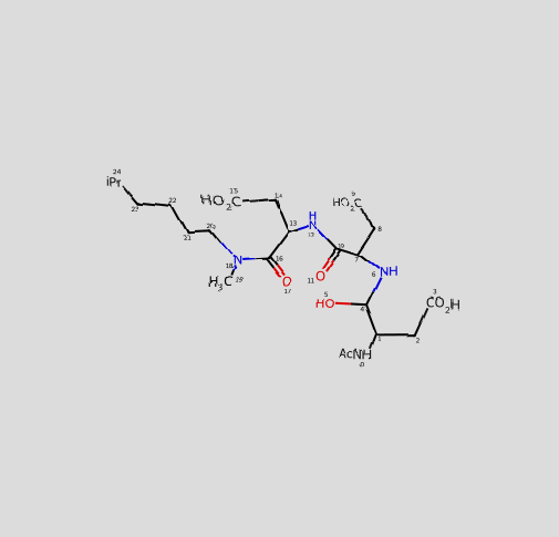 CC(=O)NC(CC(=O)O)C(O)NC(CC(=O)O)C(=O)NC(CC(=O)O)C(=O)N(C)CCCCC(C)C